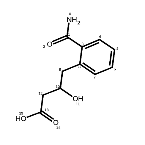 NC(=O)c1ccccc1CC(O)CC(=O)O